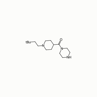 CC(C)(C)CCN1CCC(C(=O)N2CCNCC2)CC1